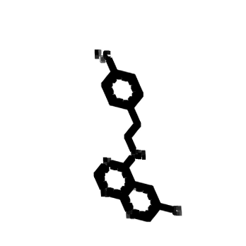 FC(F)(F)c1ccc(CCNc2ncnc3ncc(Cl)cc23)cc1